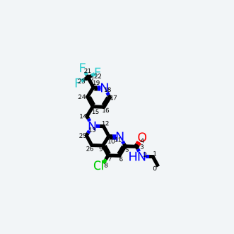 CCNC(=O)c1cc(Cl)c2c(n1)CN(Cc1ccnc(C(F)(F)F)c1)CC2